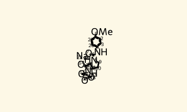 COc1ccc(NC(=O)N2CC[C@@H]3[C@H]2C(=O)N3S(=O)(=O)[O-])cc1.[Na+]